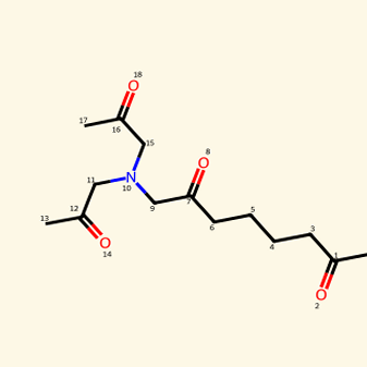 CC(=O)CCCCC(=O)CN(CC(C)=O)CC(C)=O